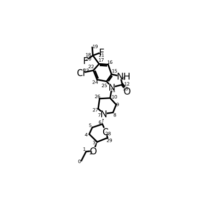 CCO[C@H]1CC[C@H](N2CCC(n3c(=O)[nH]c4cc(C(C)(F)F)c(Cl)cc43)CC2)CC1